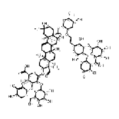 C[C@@H]1O[C@@H](CCO[C@@H]2C[C@@H](O)[C@@H](C)O[C@H]2OC(=O)[C@]23CCC(C)(C)C[C@H]2C2=CCC4[C@@]5(C)CC[C@H](O[C@@H]6O[C@H](C(=O)O)[C@@H](O)[C@H](O[C@@H]7OC[C@@H](O)C(O)=C7O)[C@H]6O[C@@H]6O[C@H](CO)[C@H](O)[C@H](O)[C@H]6O)[C@@](C)(C=O)[C@@H]5CC[C@@]4(C)[C@]2(C)C[C@H]3O)[C@H](O)[C@H](O[C@@H]2O[C@H](CO)[C@@H](O)[C@H](O)[C@H]2O)[C@H]1O[C@@H]1OC[C@@H](O)[C@H](O)[C@H]1O